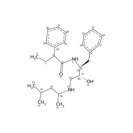 CCC(C(=O)N[C@@H](Cc1ccccc1)[C@H](O)CNC(C)CC(C)C)c1ccccc1